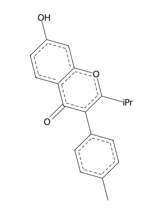 Cc1ccc(-c2c(C(C)C)oc3cc(O)ccc3c2=O)cc1